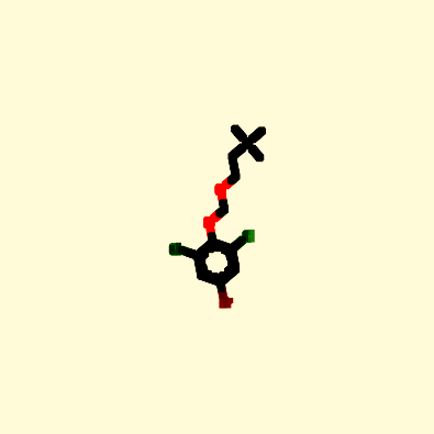 C[Si](C)(C)CCOCOc1c(Cl)cc(Br)cc1Cl